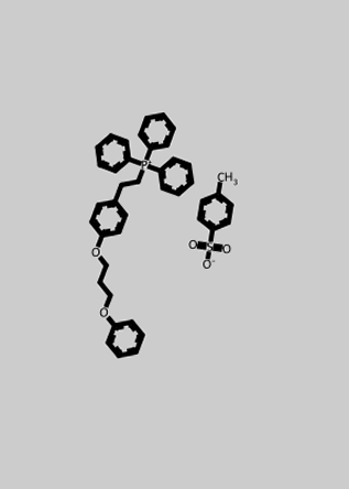 Cc1ccc(S(=O)(=O)[O-])cc1.c1ccc(OCCCOc2ccc(CC[P+](c3ccccc3)(c3ccccc3)c3ccccc3)cc2)cc1